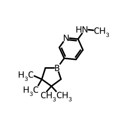 CNc1ccc(B2CC(C)(C)C(C)(C)C2)cn1